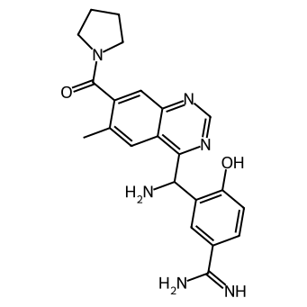 Cc1cc2c(C(N)c3cc(C(=N)N)ccc3O)ncnc2cc1C(=O)N1CCCC1